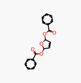 O=C(OC1C=CC(OC(=O)c2ccccc2)O1)c1ccccc1